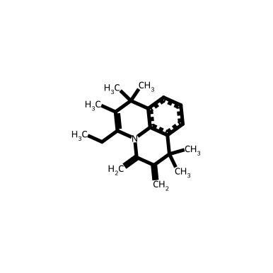 C=C1C(=C)C(C)(C)c2cccc3c2N1C(CC)=C(C)C3(C)C